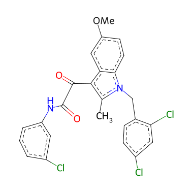 COc1ccc2c(c1)c(C(=O)C(=O)Nc1cccc(Cl)c1)c(C)n2Cc1ccc(Cl)cc1Cl